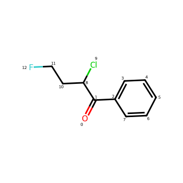 O=C(c1ccccc1)C(Cl)CCF